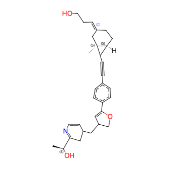 C[C@H](O)C1=NC=CC(CC2C=C(c3ccc(C#CC4[C@@H]5CC/C(=C/CCO)C[C@]45C)cc3)OC2)C1